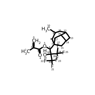 C=C(C)C(=O)OC(C12CC(C)CC3CC(C1)C3C2)C(O)(C(F)(F)F)C(F)(F)F